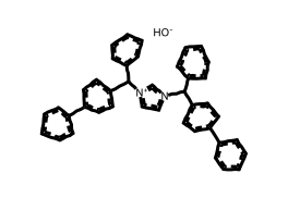 [OH-].c1ccc(-c2ccc(C(c3ccccc3)n3cc[n+](C(c4ccccc4)c4ccc(-c5ccccc5)cc4)c3)cc2)cc1